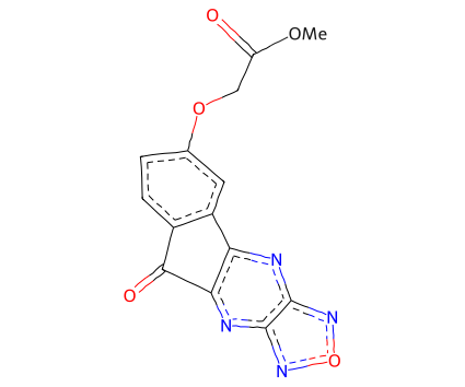 COC(=O)COc1ccc2c(c1)-c1nc3nonc3nc1C2=O